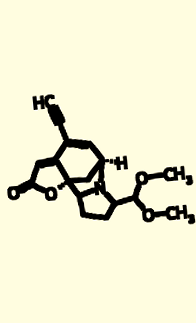 C#CC1=C[C@@H]2C[C@@]3(OC(=O)C=C13)C1CCC(C(OC)OC)N12